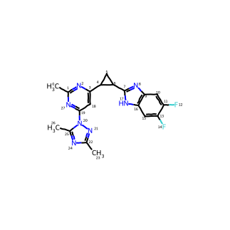 Cc1nc(C2CC2c2nc3cc(F)c(F)cc3[nH]2)cc(-n2nc(C)nc2C)n1